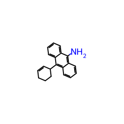 Nc1c2ccccc2c(C2C=CCCC2)c2ccccc12